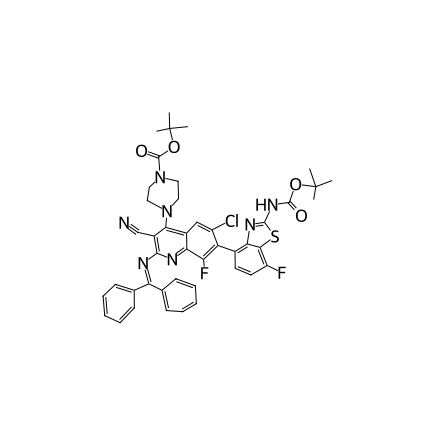 CC(C)(C)OC(=O)Nc1nc2c(-c3c(Cl)cc4c(N5CCN(C(=O)OC(C)(C)C)CC5)c(C#N)c(N=C(c5ccccc5)c5ccccc5)nc4c3F)ccc(F)c2s1